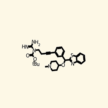 CN1CCC(OC(c2cccc(C#CCCN(C(=N)N)C(=O)OC(C)(C)C)c2)c2nc3ccccc3s2)CC1